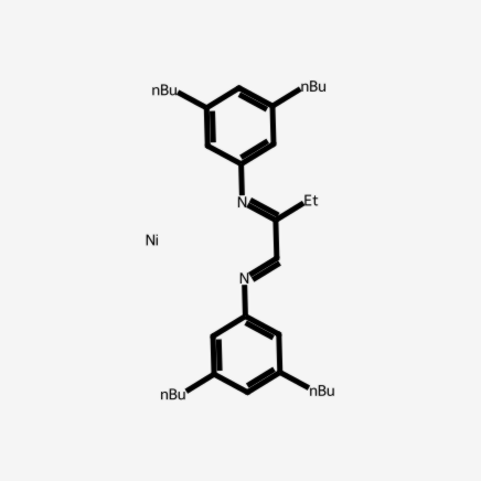 CCCCc1cc(CCCC)cc(N=CC(CC)=Nc2cc(CCCC)cc(CCCC)c2)c1.[Ni]